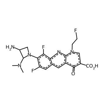 CN(C)C1C(N)CN1c1c(F)cc2cc3c(=O)c(C(=O)O)cn(CCF)c3nc2c1F